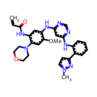 C=CC(=O)Nc1cc(Nc2cc(Nc3ccccc3-c3ccn(C)n3)ncn2)c(OC)cc1N1CCOCC1